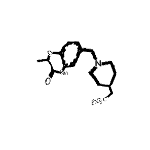 CCOC(=O)CC1CCN(Cc2ccc3c(c2)NC(=O)C(C)O3)CC1